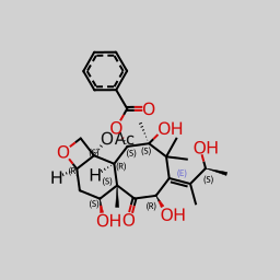 CC(=O)O[C@@]12CO[C@@H]1C[C@H](O)[C@@]1(C)C(=O)[C@H](O)/C(=C(\C)[C@H](C)O)C(C)(C)[C@](C)(O)[C@@H](OC(=O)c3ccccc3)[C@H]21